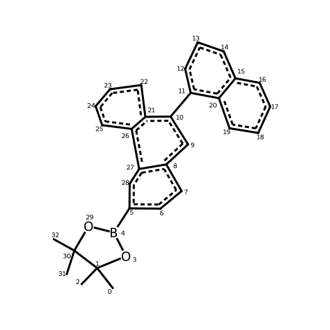 CC1(C)OB(c2ccc3cc(-c4cccc5ccccc45)c4ccccc4c3c2)OC1(C)C